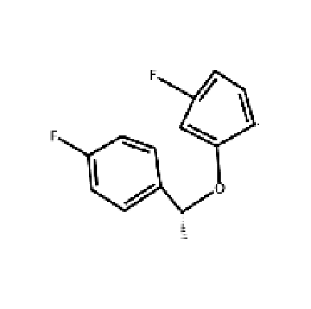 C[C@@H](Oc1[c]ccc(F)c1)c1ccc(F)cc1